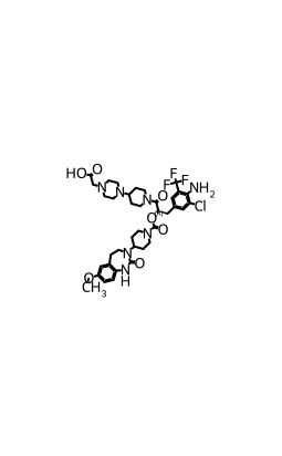 COc1ccc2c(c1)CCN(C1CCN(C(=O)O[C@H](Cc3cc(Cl)c(N)c(C(F)(F)F)c3)C(=O)N3CCC(N4CCN(CC(=O)O)CC4)CC3)CC1)C(=O)N2